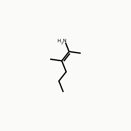 CCC/C(C)=C(\C)N